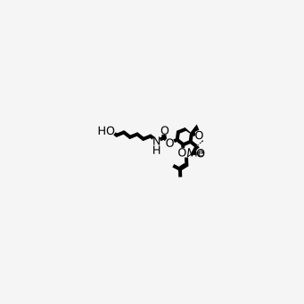 COC1C(OC(=O)NCCCCCCO)CC[C@]2(CO2)C1[C@@]1(C)O[C@@H]1CC=C(C)C